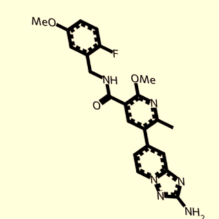 COc1ccc(F)c(CNC(=O)c2cc(-c3ccn4nc(N)nc4c3)c(C)nc2OC)c1